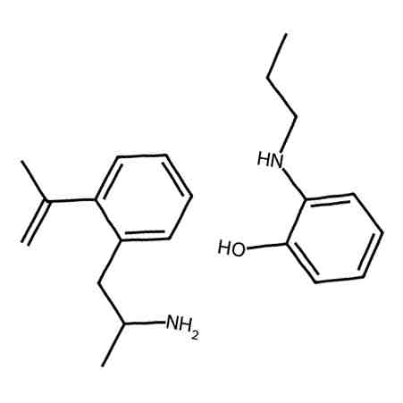 C=C(C)c1ccccc1CC(C)N.CCCNc1ccccc1O